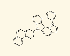 c1ccc(-n2ccc3ccc4c(c5ccccc5n4-c4ccc5c(ccc6ccccc65)c4)c32)cc1